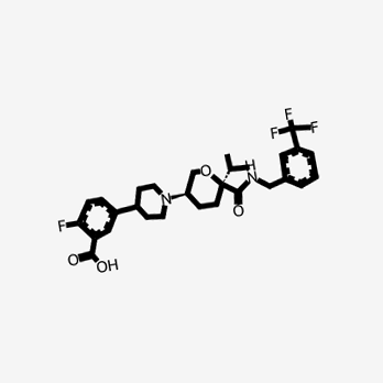 CC(C)[C@]1(C(=O)NCc2cccc(C(F)(F)F)c2)CC[C@@H](N2CCC(c3ccc(F)c(C(=O)O)c3)CC2)CO1